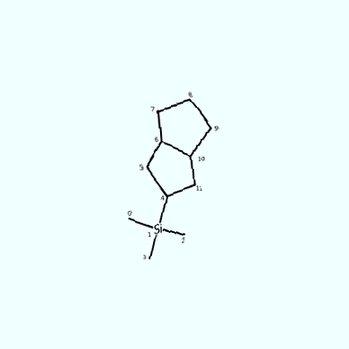 C[Si](C)(C)C1CC2CCCC2C1